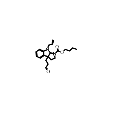 C=CCN1c2ccccc2C2(CCC=O)CCN(C(=O)OCCCC)C12